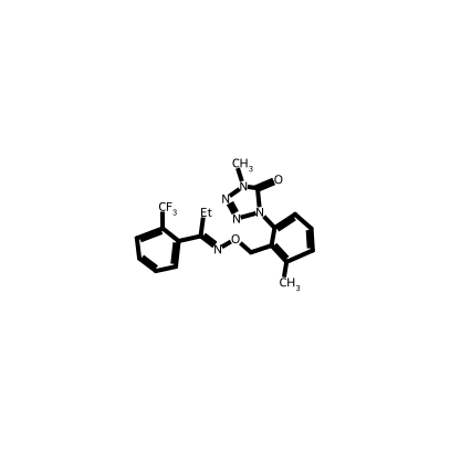 CCC(=NOCc1c(C)cccc1-n1nnn(C)c1=O)c1ccccc1C(F)(F)F